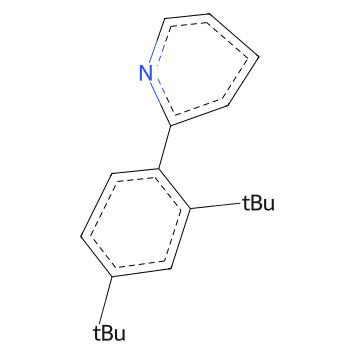 CC(C)(C)c1ccc(-c2ccccn2)c(C(C)(C)C)c1